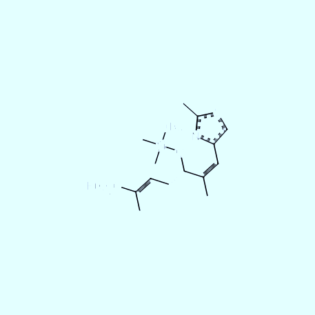 CCOC(=O)C(C)=CC[C@H](O[Si](C)(C)C(C)(C)C)C(C)=Cc1csc(C)n1